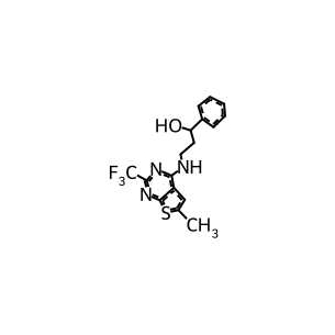 Cc1cc2c(NCCC(O)c3ccccc3)nc(C(F)(F)F)nc2s1